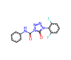 O=C(Nc1ccccc1)n1nnn(-c2c(F)cccc2F)c1=O